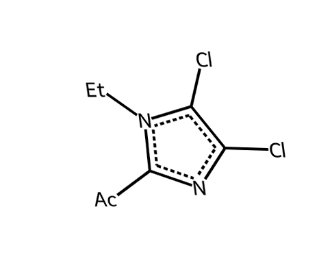 CCn1c(C(C)=O)nc(Cl)c1Cl